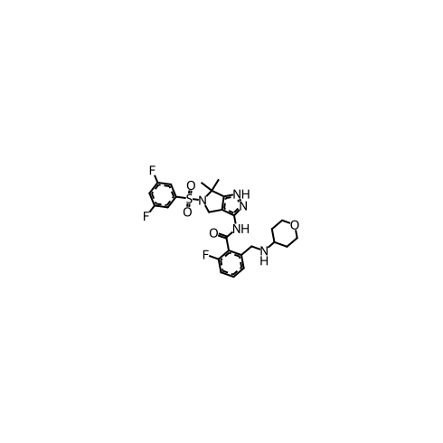 CC1(C)c2[nH]nc(NC(=O)c3c(F)cccc3CNC3CCOCC3)c2CN1S(=O)(=O)c1cc(F)cc(F)c1